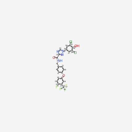 O=C(NCc1ccc(Oc2ccc(F)c(C(F)(F)F)c2)cc1)c1ncn(-c2cc(Cl)c(O)c(Cl)c2)n1